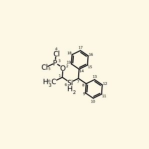 CC(OP(Cl)Cl)[SiH2]C(c1ccccc1)c1ccccc1